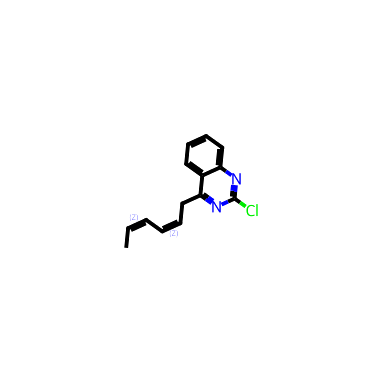 C/C=C\C=C/Cc1nc(Cl)nc2ccccc12